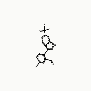 O=Cc1cc(F)ccc1-c1noc2cc(C(F)(F)F)ccc12